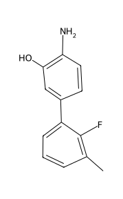 Cc1cccc(-c2ccc(N)c(O)c2)c1F